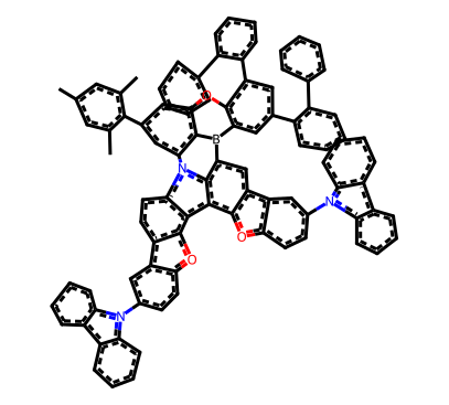 Cc1cc(C)c(-c2cc3c4c(c2)-n2c5ccc6c7cc(-n8c9ccccc9c9ccccc98)ccc7oc6c5c5c6oc7ccc(-n8c9ccccc9c9ccccc98)cc7c6cc(c52)B4c2cc(-c4ccccc4-c4ccccc4)cc(-c4ccccc4-c4ccccc4)c2O3)c(C)c1